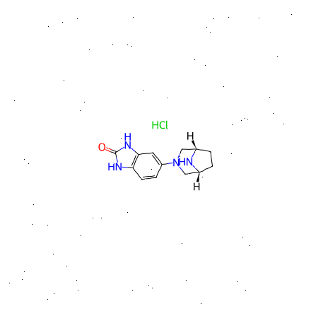 Cl.O=c1[nH]c2ccc(N3C[C@H]4CC[C@@H](C3)N4)cc2[nH]1